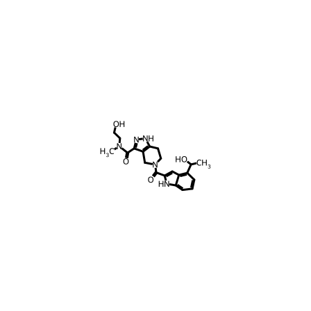 CC(O)c1cccc2[nH]c(C(=O)N3CCc4[nH]nc(C(=O)N(C)CCO)c4C3)cc12